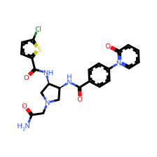 NC(=O)CN1C[C@H](NC(=O)c2ccc(-n3ccccc3=O)cc2)[C@H](NC(=O)c2ccc(Cl)s2)C1